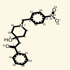 O=C(CC1(O)CCN(Cc2ccc([N+](=O)[O-])cc2)CC1)c1ccccc1